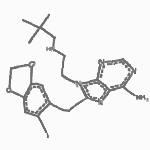 CC(C)(C)CNCCn1c(Cc2cc3c(cc2I)OCO3)nc2c(N)ncnc21